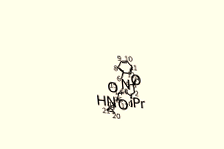 CC(C)[C@H]1CC(=O)N(Cc2ccccc2)[C@@H]1C(=O)C(=O)NC1CC1